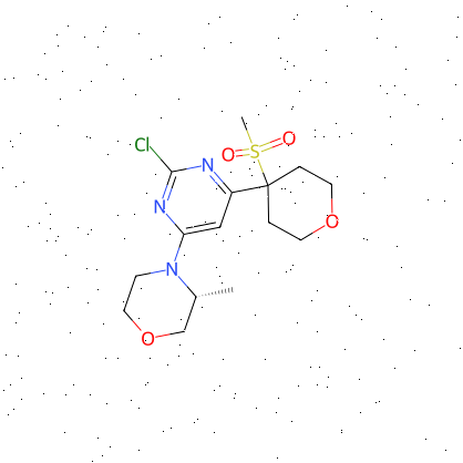 C[C@@H]1COCCN1c1cc(C2(S(C)(=O)=O)CCOCC2)nc(Cl)n1